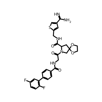 N=C(N)c1csc(CNC(=O)C2CC3(CN2C(=O)CNC(=O)c2ccc(-c4cc(F)ccc4F)cc2)OCCO3)c1